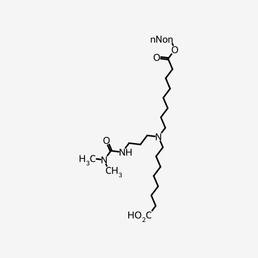 CCCCCCCCCOC(=O)CCCCCCCN(CCCCCCCC(=O)O)CCCNC(=O)N(C)C